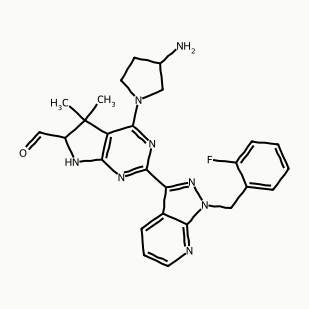 CC1(C)c2c(nc(-c3nn(Cc4ccccc4F)c4ncccc34)nc2N2CCC(N)C2)NC1C=O